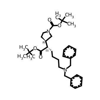 CC(C)(C)OC(=O)[C@@H](CCCCN(Cc1ccccc1)Cc1ccccc1)[C@H]1CCN(C(=O)OC(C)(C)C)C1